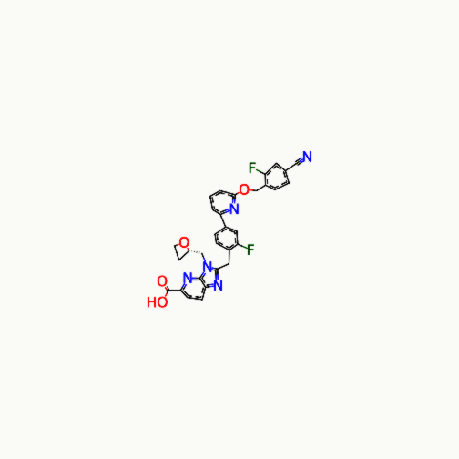 N#Cc1ccc(COc2cccc(-c3ccc(Cc4nc5ccc(C(=O)O)nc5n4C[C@@H]4CCO4)c(F)c3)n2)c(F)c1